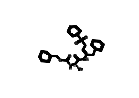 CC(C)[C@H](NC(=O)OCc1ccccc1)C(=O)NC(=CCS(=O)(=O)c1ccccc1)Cc1ccccc1